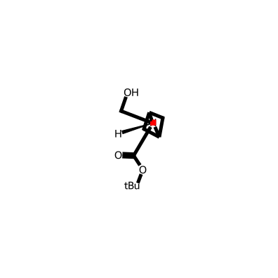 CC(C)(C)OC(=O)N1C2CC(C2)[C@@H]1CO